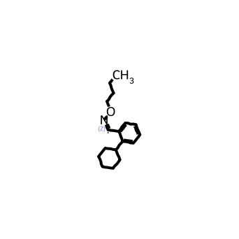 CCCCO/N=[C]\c1ccccc1C1CCCCC1